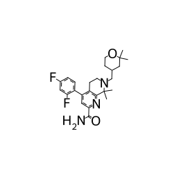 CC1(C)CC(CN2CCc3c(-c4ccc(F)cc4F)cc(C(N)=O)nc3C2(C)C)CCO1